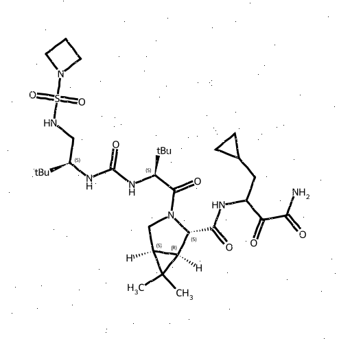 CC(C)(C)[C@H](NC(=O)N[C@H](CNS(=O)(=O)N1CCC1)C(C)(C)C)C(=O)N1C[C@H]2[C@@H]([C@H]1C(=O)NC(CC1CC1)C(=O)C(N)=O)C2(C)C